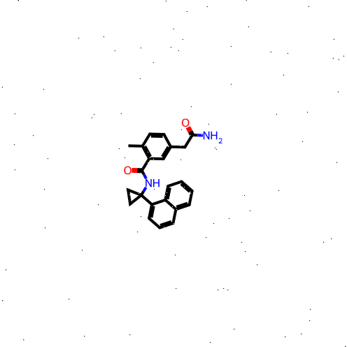 Cc1ccc(CC(N)=O)cc1C(=O)NC1(c2cccc3ccccc23)CC1